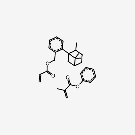 C=C(C)C(=O)Oc1ccccc1.C=CC(=O)OCc1ccccc1C12CC(CCC1C)C2(C)C